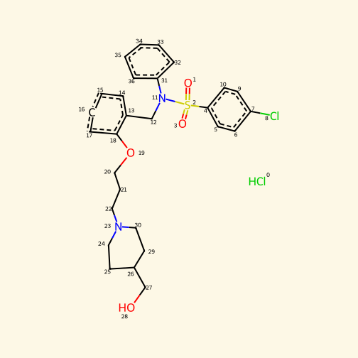 Cl.O=S(=O)(c1ccc(Cl)cc1)N(Cc1ccccc1OCCCN1CCC(CO)CC1)c1ccccc1